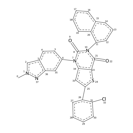 Cn1cc2ccc(-n3c(=O)n(-c4cccc5ccccc45)c(=O)c4sc(-c5ccccc5Cl)cc43)cc2n1